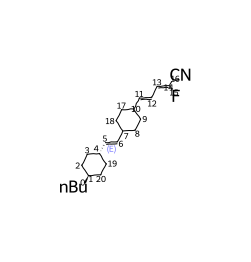 CCCC[C@H]1CC[C@H](/C=C/C2CCC(C=CC=C(F)C#N)CC2)CC1